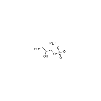 O=P([O-])([O-])OCC(O)CO.[Li+].[Li+]